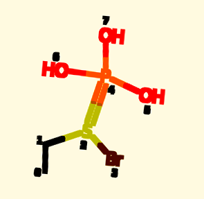 CCS(Br)=P(O)(O)O